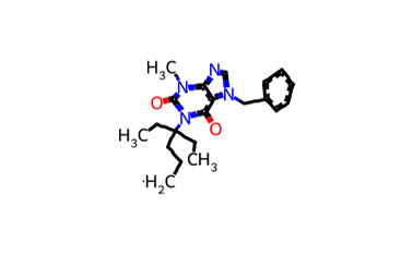 [CH2]CCC(CC)(CC)n1c(=O)c2c(ncn2Cc2ccccc2)n(C)c1=O